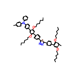 CCCCCCOc1cc(-c2ccc(-c3nnc(-c4ccc(-c5cc(OCCCCCC)c(-c6ccc(N(c7ccccc7)c7ccc(C)cc7)cc6)cc5OCCCCCC)cc4)s3)cc2)c(OCCCCCC)cc1C